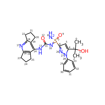 CC(C)(O)c1cc([S@](N)(=O)=NC(=O)Nc2c3c(nc4c2CCC4)CCC3)nn1-c1ccccc1